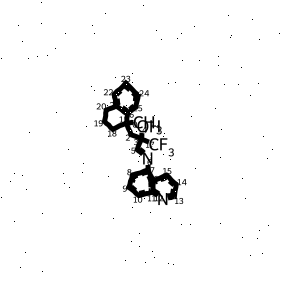 CC1(CC(O)(C=Nc2cccc3ncccc23)C(F)(F)F)CCCc2ccccc21